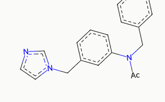 CC(=O)N(Cc1ccccc1)c1cccc(Cn2ccnc2)c1